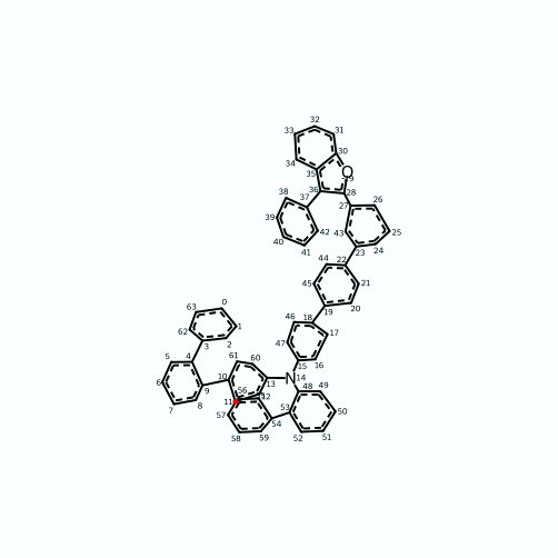 c1ccc(-c2ccccc2-c2ccc(N(c3ccc(-c4ccc(-c5cccc(-c6oc7ccccc7c6-c6ccccc6)c5)cc4)cc3)c3ccccc3-c3ccccc3)cc2)cc1